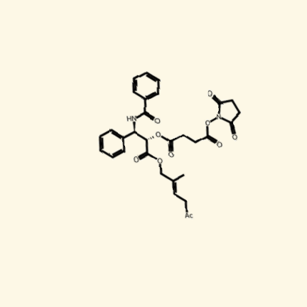 CC(=O)C/C=C(\C)COC(=O)[C@@H](OC(=O)CCC(=O)ON1C(=O)CCC1=O)[C@H](NC(=O)c1ccccc1)c1ccccc1